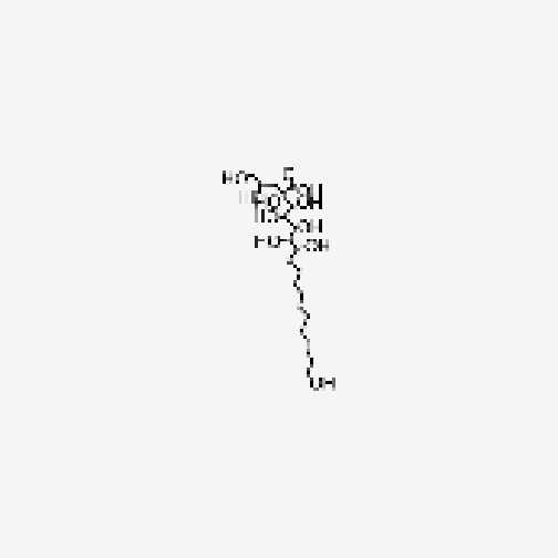 O=C(O)C(O)(CC(O)CO)C(O)C(O)C(O)C(O)C(O)CCCCCCCCCCCO